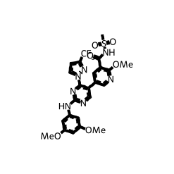 COc1cc(Nc2ncc(-c3cnc(OC)c(C(=O)NS(C)(=O)=O)c3)c(-n3ccc(C(F)(F)F)n3)n2)cc(OC)c1